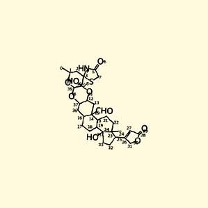 CC1CC2(NC(=O)CS2)C2(O)OC3CC4(C=O)C(CCC5C4CCC4(C)C(C6=CC(=O)OC6)CCC54O)CC3OC2O1